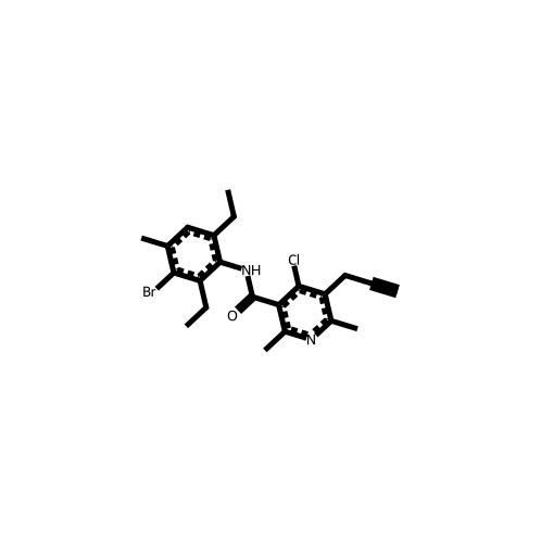 C#CCc1c(C)nc(C)c(C(=O)Nc2c(CC)cc(C)c(Br)c2CC)c1Cl